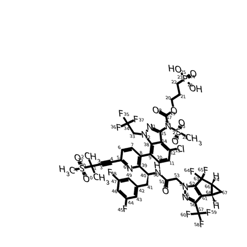 CC(C)(C#Cc1ccc(-c2ccc(Cl)c3c(N(C(=O)OCCCP(=O)(O)O)S(C)(=O)=O)nn(CC(F)(F)F)c23)c([C@H](Cc2cc(F)cc(F)c2)NC(=O)Cn2nc(C(F)(F)F)c3c2C(F)(F)[C@@H]2C[C@H]32)n1)S(C)(=O)=O